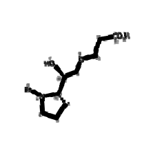 CCN1CCC[C@H]1[C@@H](O)COCCC(=O)O